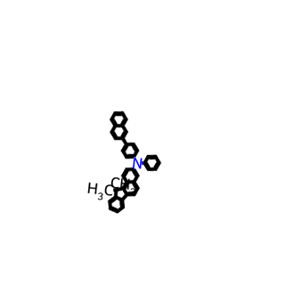 CC1(C)c2ccccc2-c2ccc3cc(N(c4ccccc4)c4ccc(-c5ccc6ccccc6c5)cc4)ccc3c21